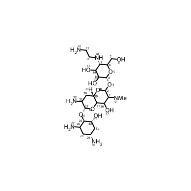 CNC1C(O[C@H]2OC(CO)[C@@H](NCCN)C(O)C2O)O[C@H]2CC(N)[C@@H](O[C@@H]3C(N)C[C@@H](N)C[C@H]3O)OC2C1O